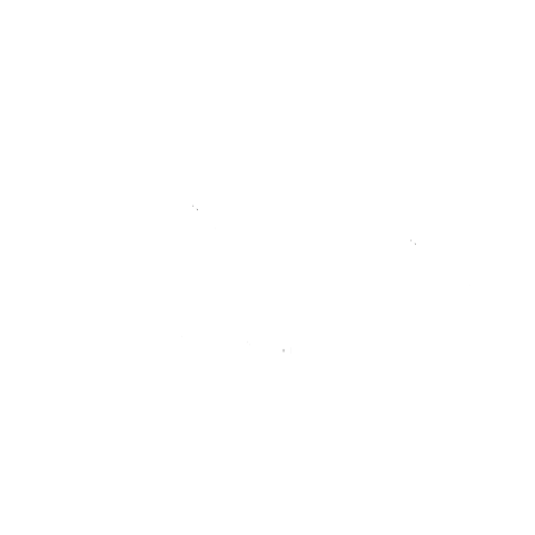 CCC(C)C(=O)O.Cc1nc2ccc(C=CCS(=O)(=O)n3ccc4cc(Cl)ccc43)cc2s1